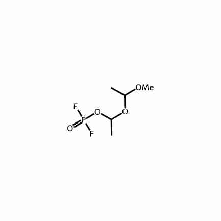 COC(C)OC(C)OP(=O)(F)F